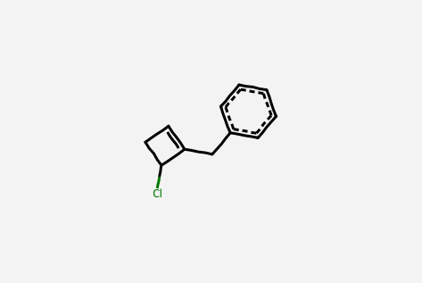 ClC1CC=C1Cc1ccccc1